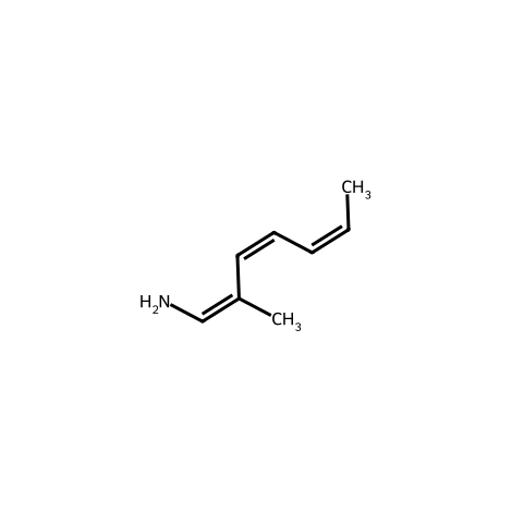 C\C=C/C=C\C(C)=C/N